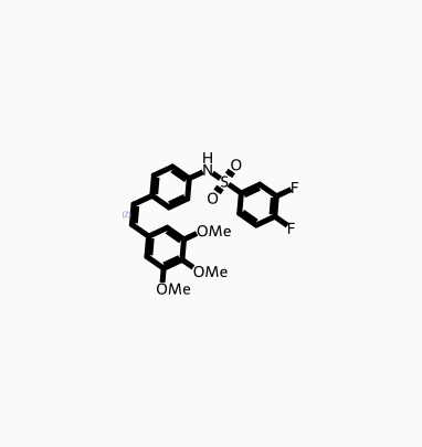 COc1cc(/C=C\c2ccc(NS(=O)(=O)c3ccc(F)c(F)c3)cc2)cc(OC)c1OC